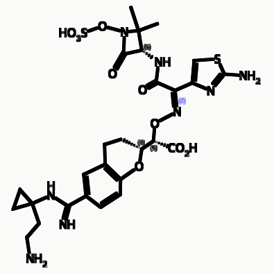 CC1(C)[C@H](NC(=O)/C(=N\O[C@H](C(=O)O)[C@H]2CCc3cc(C(=N)NC4(CCN)CC4)ccc3O2)c2csc(N)n2)C(=O)N1OS(=O)(=O)O